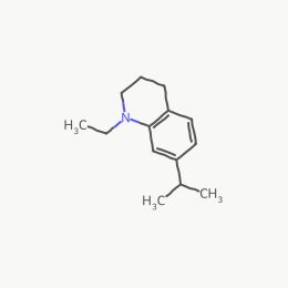 CCN1CCCc2ccc(C(C)C)cc21